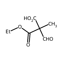 CCOC(=O)C(C)(C=O)C(=O)O